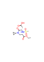 CCOC(=O)CCN(C(=O)[C@H](CC(=O)O)NS(C)(=O)=O)C1CC1